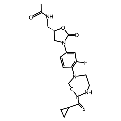 CC(=O)NC[C@H]1CN(c2ccc(N3CCNN(C(=S)C4CC4)CC3)c(F)c2)C(=O)O1